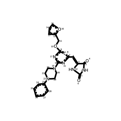 O=C1NC(=O)C(=Cc2cc(OCc3ccco3)nc(N3CCN(c4ccccc4)CC3)n2)N1